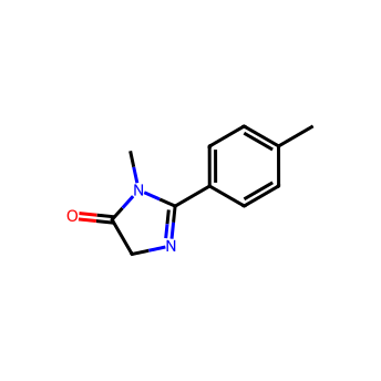 Cc1ccc(C2=NCC(=O)N2C)cc1